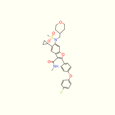 CNC(=O)c1c(-c2ccc(Oc3ccc(F)cc3)cc2)oc2cc(N(CC3CCOCC3)S(C)(=O)=O)c(C3CC3)cc12